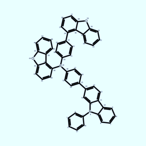 c1ccc(-n2c3ccccc3c3ccc(-c4ccc(N(c5ccc(-c6cccc7oc8ccccc8c67)cc5)c5cccc6oc7ccccc7c56)cc4)cc32)cc1